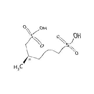 C[C@H](CCCS(=O)(=O)O)CS(=O)(=O)O